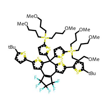 COCCCS(CCCOC)(CCCOC)c1ccc(C2(c3ccc(S(CCCOC)(CCCOC)CCCOC)s3)c3sc(-c4ccc(C(C)(C)C)s4)cc3C3=C(c4cc(-c5ccc(C(C)(C)C)s5)sc42)C(F)(F)C(F)(F)C3(F)F)s1